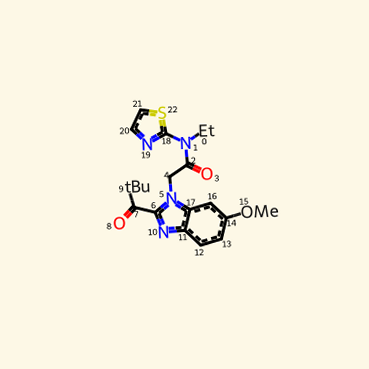 CCN(C(=O)Cn1c(C(=O)C(C)(C)C)nc2ccc(OC)cc21)c1nccs1